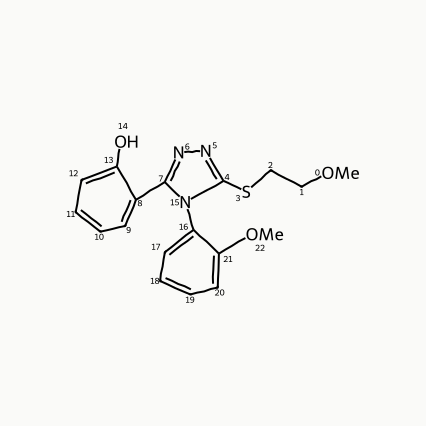 COCCSc1nnc(-c2ccccc2O)n1-c1ccccc1OC